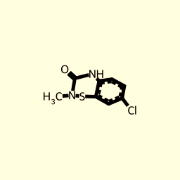 CN1Sc2cc(Cl)ccc2NC1=O